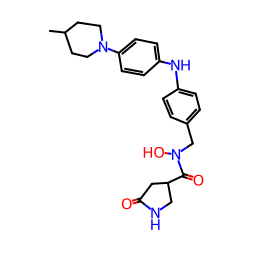 CC1CCN(c2ccc(Nc3ccc(CN(O)C(=O)C4CNC(=O)C4)cc3)cc2)CC1